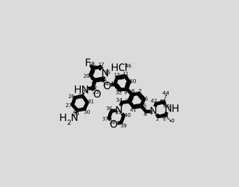 C[C@@H]1CN(Cc2ccc(-c3cccc(Oc4ncc(F)cc4C(=O)N[C@H]4CC[C@H](N)CC4)c3)c(CN3CCOCC3)c2)C[C@H](C)N1.Cl